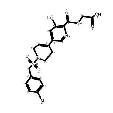 O=C(O)CNC(=O)c1ncc(C2=CCN(S(=O)(=O)Cc3ccc(Cl)cc3)CC2)cc1O